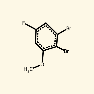 COc1cc(F)cc(Br)c1Br